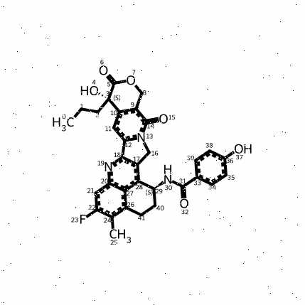 CCC[C@@]1(O)C(=O)OCc2c1cc1n(c2=O)Cc2c-1nc1cc(F)c(C)c3c1c2[C@@H](NC(=O)c1ccc(O)cc1)CC3